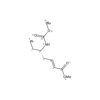 COC(=O)/C=C/C[C@H](CC(C)C)NC(=O)OC(C)(C)C